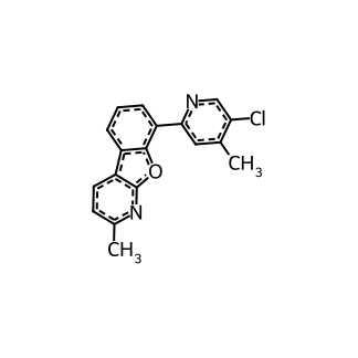 Cc1ccc2c(n1)oc1c(-c3cc(C)c(Cl)cn3)cccc12